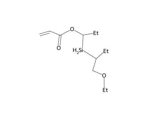 C=CC(=O)OC(CC)[SiH2]C(CC)COCC